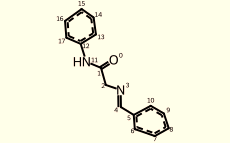 O=C(CN=Cc1ccccc1)Nc1ccccc1